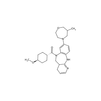 CO[C@H]1CC[C@H](C(=O)N2CC3CC=CN=C3Nc3ccc(N4CCOCC(C)C4)cc32)CC1